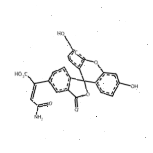 NC(=O)/C=C(/C(=O)O)c1ccc2c(c1)C(=O)OC21c2ccc(O)cc2Oc2cc(O)ccc21